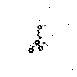 Cl.Cl.N[C@@H]1CCN(CCN[C@@H]2C[C@H]2c2ccc(OCc3ccccc3)c(-c3ccccc3)c2)C1